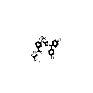 CS(=O)(=O)N(c1cccc(C(=O)NCC(N)=O)c1)C1CN(C(c2ccc(Cl)cc2)c2ccc(Cl)cc2)C1